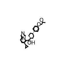 CC(=O)COc1ccc([C@H]2CC[C@H]([C@H](O)c3c(C4CC4)ccc4cncn34)CC2)cc1